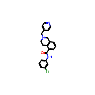 O=C(Nc1cccc(Cl)c1)c1cccc2c1CCN(Cc1ccncc1)C2